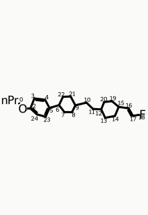 CCCOc1ccc(C2CCC(CCC3CCC(/C=C/F)CC3)CC2)cc1